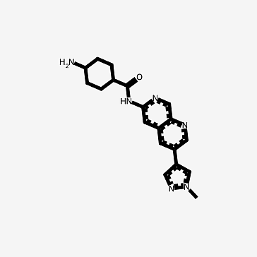 Cn1cc(-c2cnc3cnc(NC(=O)C4CCC(N)CC4)cc3c2)cn1